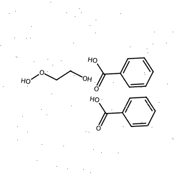 O=C(O)c1ccccc1.O=C(O)c1ccccc1.OCCOO